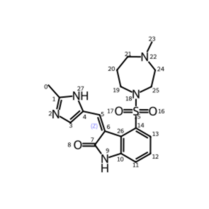 Cc1ncc(/C=C2\C(=O)Nc3cccc(S(=O)(=O)N4CCCN(C)CC4)c32)[nH]1